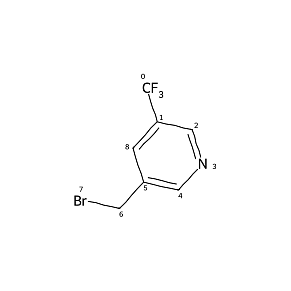 FC(F)(F)c1cncc(CBr)c1